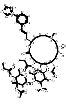 CCC(=O)O[C@@H]1CC(=O)O[C@@H](C/C=C/c2cccc(-n3cncn3)c2)CCCN(C)C[C@H](O)[C@H](C)C[C@H](CC=O)[C@H](O[C@@H]2OC(C)[C@@H](O[C@H]3CC(C)(OC(C)=O)[C@@H](OC(=O)CC)C(C)O3)C(N(C)C)C2O)[C@H]1OC